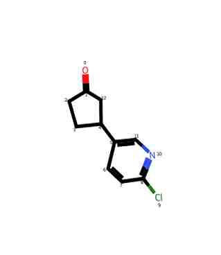 O=C1CCC(c2ccc(Cl)nc2)C1